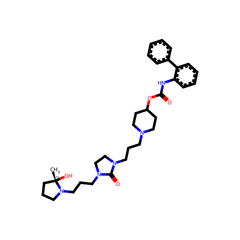 C[C@]1(O)CCCN1CCCN1CCN(CCCN2CCC(OC(=O)Nc3ccccc3-c3ccccc3)CC2)C1=O